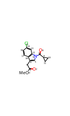 COC(=O)Cc1cn(C(=O)C2CC2)c2cc(Cl)ccc12